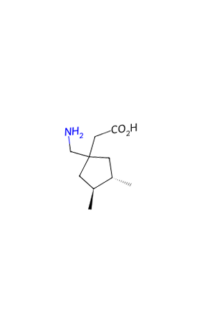 C[C@H]1CC(CN)(CC(=O)O)C[C@@H]1C